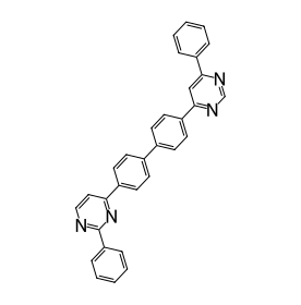 c1ccc(-c2cc(-c3ccc(-c4ccc(-c5ccnc(-c6ccccc6)n5)cc4)cc3)ncn2)cc1